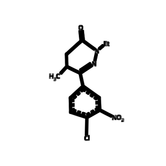 CCN1N=C(c2ccc(Cl)c([N+](=O)[O-])c2)C(C)CC1=O